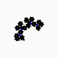 Cc1ccc(N(c2ccc(-n3c(-c4ccccc4)c(-c4ccccc4)c4cc(-c5ccc6c(c5)c(-c5ccccc5)c(-c5ccccc5)n6-c5ccc(N(c6ccc(C)cc6)c6cccc7ccccc67)cc5)ccc43)cc2)c2cccc3ccccc23)cc1